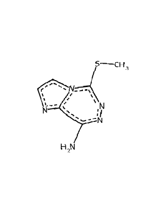 CSc1nnc(N)c2nccn12